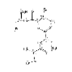 CC(C)C[C@H](NC(=O)[C@@H](NC(=O)[C@H](CC(=O)O)NC(=O)[C@@H](N)CO)[C@@H](C)O)C(=O)O